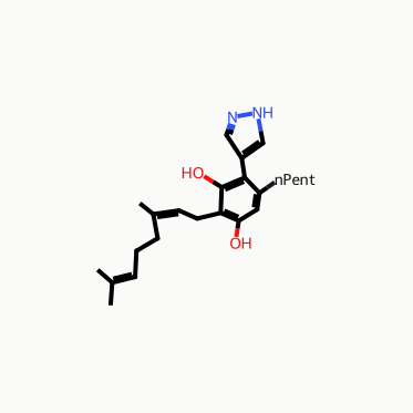 CCCCCc1cc(O)c(CC=C(C)CCC=C(C)C)c(O)c1-c1cn[nH]c1